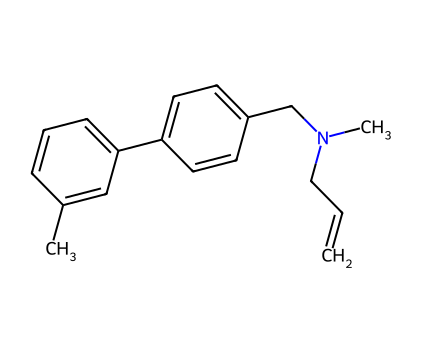 C=CCN(C)Cc1ccc(-c2cccc(C)c2)cc1